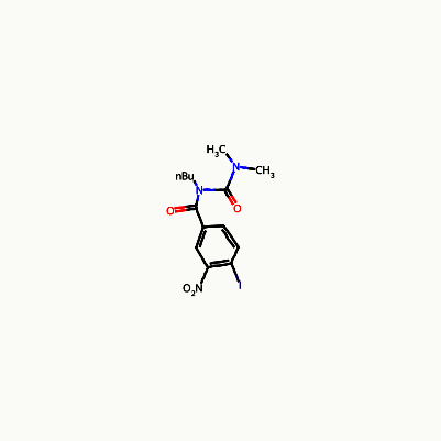 CCCCN(C(=O)c1ccc(I)c([N+](=O)[O-])c1)C(=O)N(C)C